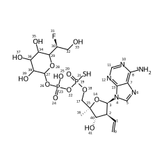 C=C[C@@H]1[C@H](n2cnc3c(N)ncnc32)O[C@](C)(COP(=O)(S)OP(=O)(O)OC2OC([C@@H](F)CO)C(O)C(O)C2O)[C@H]1O